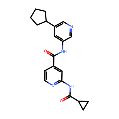 O=C(Nc1cncc(C2CCCC2)c1)c1ccnc(NC(=O)C2CC2)c1